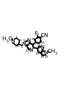 CN1CCC(Cn2cnc3c(-c4ccc(C#N)c(F)c4)c(-c4cnc5c(ccn5C)c4)ncc32)CC1